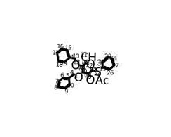 CC(=O)O[C@@H]1[C@H](OCc2ccccc2)[C@@H](OCc2ccccc2)[C@H](C)O[C@H]1Sc1ccccc1